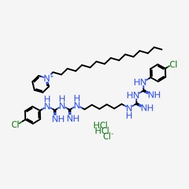 CCCCCCCCCCCCCCCC[n+]1ccccc1.Cl.Cl.N=C(NCCCCCCNC(=N)NC(=N)Nc1ccc(Cl)cc1)NC(=N)Nc1ccc(Cl)cc1.[Cl-]